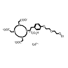 CCOCCOCCOc1ccc(C[C@H](C(=O)O)N2CCN(CC(=O)[O-])CCN(CC(=O)[O-])CCN(CC(=O)[O-])CC2)cc1.[Gd+3]